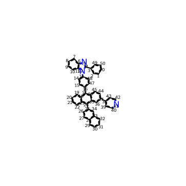 c1ccc(-c2nc3ccccc3n2-c2ccc(-c3c4ccccc4c(-c4ccc5ccccc5c4)c4cc(-c5ccncc5)ccc34)cc2)cc1